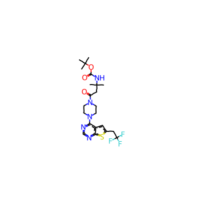 CC(C)(CC(=O)N1CCN(c2ncnc3sc(CC(F)(F)F)cc23)CC1)NC(=O)OC(C)(C)C